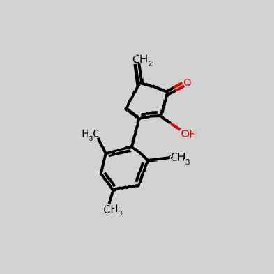 C=C1CC(c2c(C)cc(C)cc2C)=C(O)C1=O